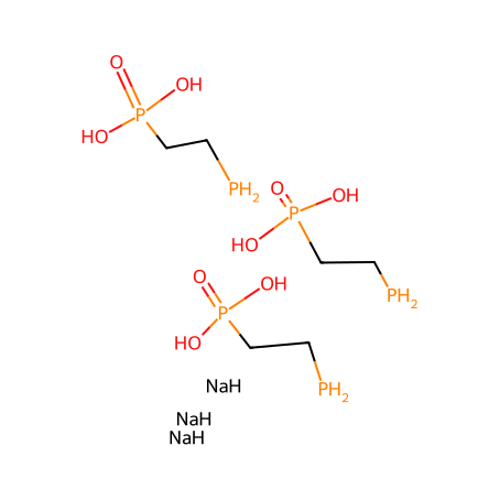 O=P(O)(O)CCP.O=P(O)(O)CCP.O=P(O)(O)CCP.[NaH].[NaH].[NaH]